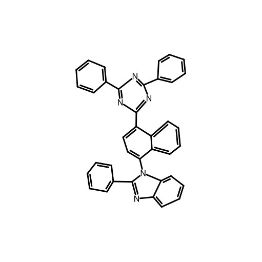 c1ccc(-c2nc(-c3ccccc3)nc(-c3ccc(-n4c(-c5ccccc5)nc5ccccc54)c4ccccc34)n2)cc1